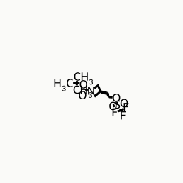 CC(C)(C)OC(=O)N1CC(=CCOS(=O)(=O)C(F)(F)F)C1